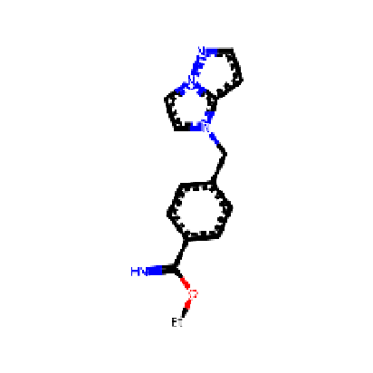 CCOC(=N)c1ccc(Cn2ccn3nccc23)cc1